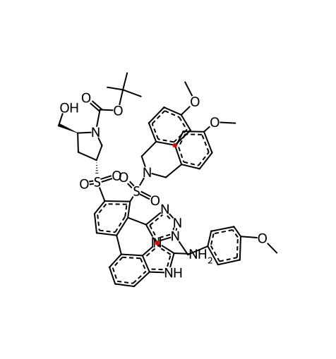 COc1ccc(CN(Cc2ccc(OC)cc2)S(=O)(=O)c2c(S(=O)(=O)[C@@H]3C[C@@H](CO)N(C(=O)OC(C)(C)C)C3)ccc(-c3cccc4[nH]c(N)nc34)c2-c2nnn(Cc3ccc(OC)cc3)n2)cc1